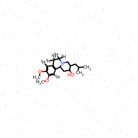 [2H]c1c(OC)c(OC)c([2H])c2c1C1CC(O)C(CC(C)C)CN1C([2H])([2H])C2([2H])[2H]